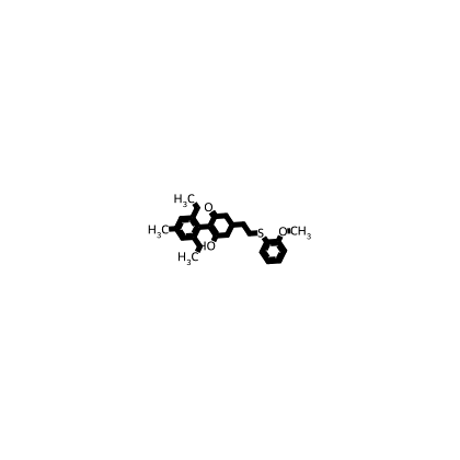 CCc1cc(C)cc(CC)c1C1=C(O)CC(CCSc2ccccc2OC)CC1=O